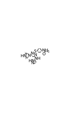 C[C@@H]1CN(c2cc(Nc3ccn[nH]3)nc(Sc3ccc(NC(=O)C4CC4)cc3)n2)C[C@H](C)N1